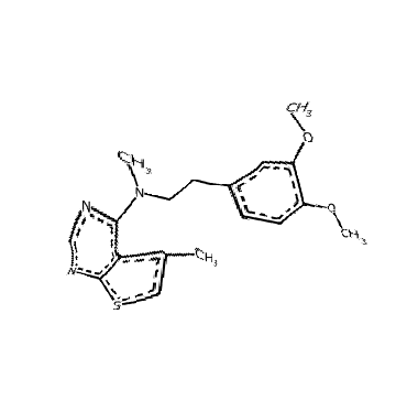 COc1ccc(CCN(C)c2ncnc3scc(C)c23)cc1OC